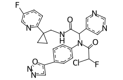 O=C(NCC1(c2ccc(F)cn2)CC1)C(c1cncnc1)N(C(=O)C(F)Cl)c1ccc(-c2cnno2)cc1